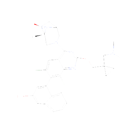 CN(C)CC1(COc2nc(N3C[C@H]4N[C@@](C)(C[C@@H]4O)C3)c3cc(Cl)c(-c4cc(O)cc5ccccc45)c(F)c3n2)CC1